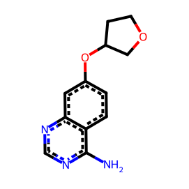 Nc1ncnc2cc(OC3CCOC3)ccc12